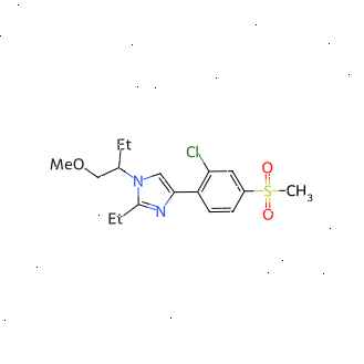 CCc1nc(-c2ccc(S(C)(=O)=O)cc2Cl)cn1C(CC)COC